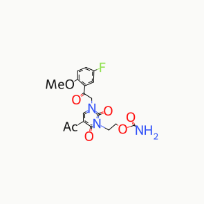 COc1ccc(F)cc1C(=O)Cn1cc(C(C)=O)c(=O)n(CCOC(N)=O)c1=O